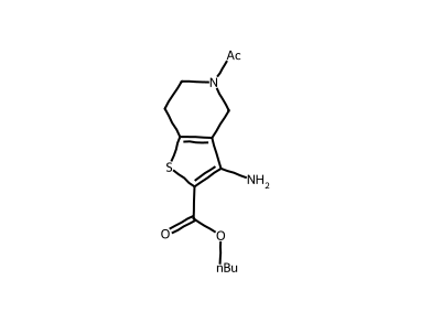 CCCCOC(=O)c1sc2c(c1N)CN(C(C)=O)CC2